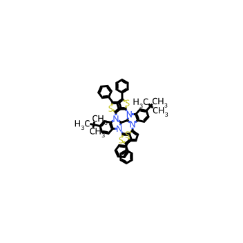 CC(C)(C)c1ccc2c(c1)N(c1ccc(-c3ccccc3)s1)C(C1N(c3ccc(-c4ccccc4)s3)c3ccc(C(C)(C)C)cc3N1c1ccc(-c3ccccc3)s1)N2c1ccc(-c2ccccc2)s1